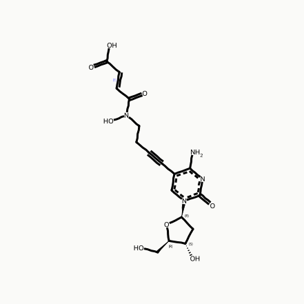 Nc1nc(=O)n([C@H]2C[C@H](O)[C@@H](CO)O2)cc1C#CCCN(O)C(=O)/C=C/C(=O)O